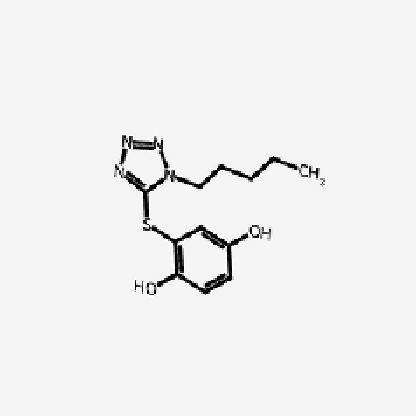 CCCCCn1nnnc1Sc1cc(O)ccc1O